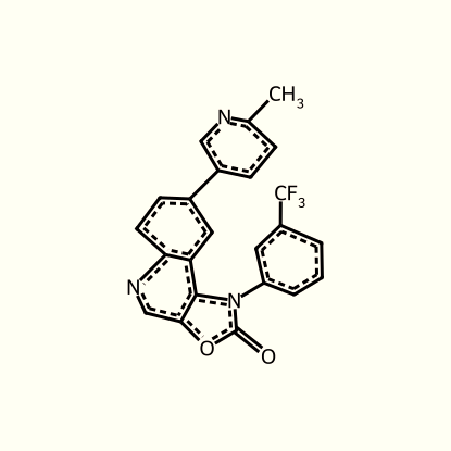 Cc1ccc(-c2ccc3ncc4oc(=O)n(-c5cccc(C(F)(F)F)c5)c4c3c2)cn1